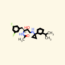 CC(=O)N[C@@H](Cc1cc(F)cc(F)c1)[C@H](O)CNC1(c2cccc(C(C)C)c2)CC1